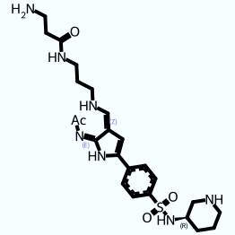 CC(=O)/N=C1/NC(c2ccc(S(=O)(=O)N[C@@H]3CCCNC3)cc2)=C/C1=C/NCCCNC(=O)CCN